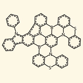 c1ccc(-n2c3ccccc3c3cc4c5c(c6cccc7c6n5-c5c6c(cc8c5B4c4cccc5c4N8c4ccccc4S5)N4c5ccccc5Sc5cccc(c54)B67)c32)cc1